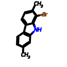 Cc1ccc2c(c1)[nH]c1c(Br)c(C)ccc12